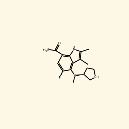 Cc1[nH]c2c(C(N)=O)cc(F)c(N(C)[C@H]3CCNC3)c2c1C